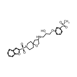 CS(=O)(=O)c1cccc(OC[C@@H](O)CNC2COC3(CCN(S(=O)(=O)c4cc5ccccc5o4)CC3)C2)c1